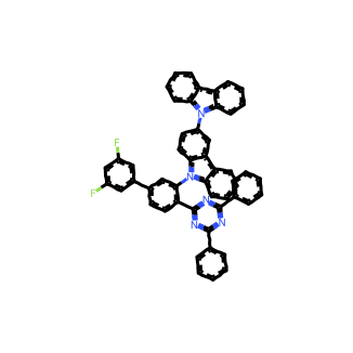 Fc1cc(F)cc(-c2ccc(-c3nc(-c4ccccc4)nc(-c4ccccc4)n3)c(-n3c4ccccc4c4cc(-n5c6ccccc6c6ccccc65)ccc43)c2)c1